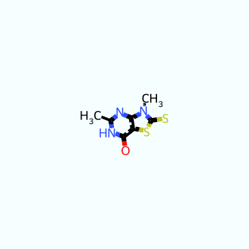 Cc1nc2c(sc(=S)n2C)c(=O)[nH]1